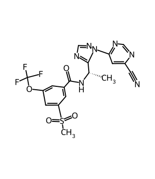 C[C@H](NC(=O)c1cc(OC(F)(F)F)cc(S(C)(=O)=O)c1)c1ncnn1-c1cc(C#N)ncn1